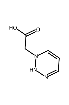 O=C(O)CN1C=CC=NN1